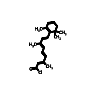 CC(C=CC1=C(C)C=CCC1(C)C)=CC=CC(C)=CC(=O)Cl